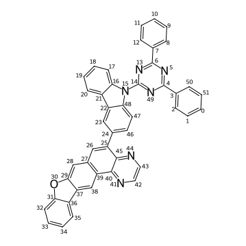 c1ccc(-c2nc(-c3ccccc3)nc(-n3c4ccccc4c4cc(-c5cc6cc7oc8ccccc8c7cc6c6nccnc56)ccc43)n2)cc1